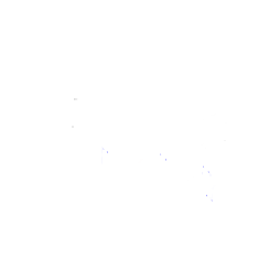 N[C@@H](CC(=O)N1Cc2ccc(F)cc2-n2cncc2C1)Cc1cc(F)c(F)cc1F